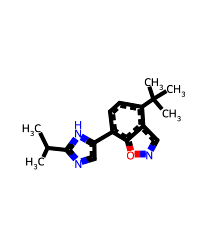 CC(C)c1ncc(-c2ccc(C(C)(C)C)c3cnoc23)[nH]1